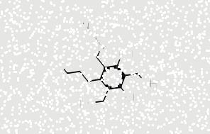 CCc1c(C)c(CC)c(CCCO)c(CN=[N+]=[N-])c1C